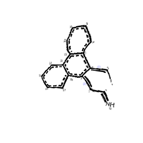 N=C/C=c1\c(=C/I)c2ccccc2c2ccccc12